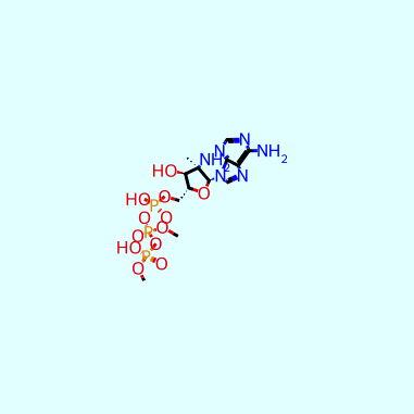 COP(=O)(O)OP(=O)(OC)OP(=O)(O)OC[C@H]1O[C@@H](n2cnc3c(N)ncnc32)[C@](C)(N)[C@@H]1O